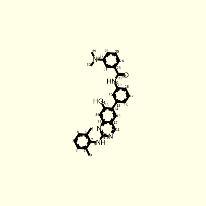 Cc1cccc(C)c1Nc1ncc2cc(-c3cccc(NC(=O)c4cccc(N(C)C)c4)c3)c(O)cc2n1